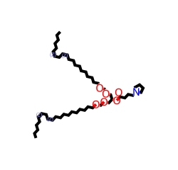 CCCCC/C=C\C/C=C\CCCCCCCCCCOCOCC(COCOCCCCCCCCCC/C=C\C/C=C\CCCCC)OC(=O)CCCN1CCCC1